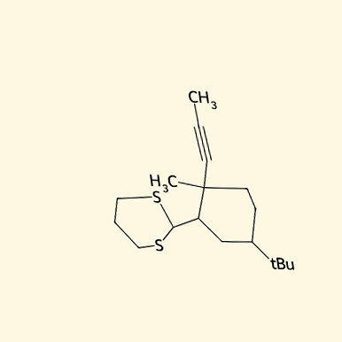 CC#CC1(C)CCC(C(C)(C)C)CC1C1SCCCS1